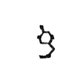 COCC1COC(=O)CO1